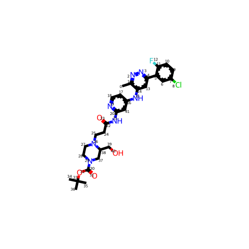 Cc1nnc(-c2cc(Cl)ccc2F)cc1Nc1ccnc(NC(=O)CCN2CCN(C(=O)OC(C)(C)C)CC2CO)c1